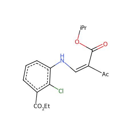 CCOC(=O)c1cccc(NC=C(C(C)=O)C(=O)OC(C)C)c1Cl